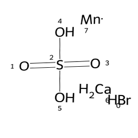 Br.O=S(=O)(O)O.[CaH2].[Mn]